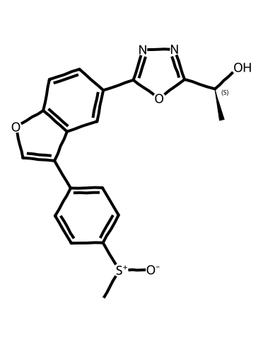 C[C@H](O)c1nnc(-c2ccc3occ(-c4ccc([S+](C)[O-])cc4)c3c2)o1